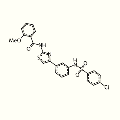 COc1ccccc1C(=O)Nc1nc(-c2cccc(NS(=O)(=O)c3ccc(Cl)cc3)c2)cs1